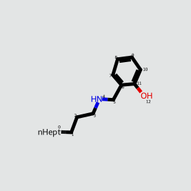 CCCCCCCCCCNCc1ccccc1O